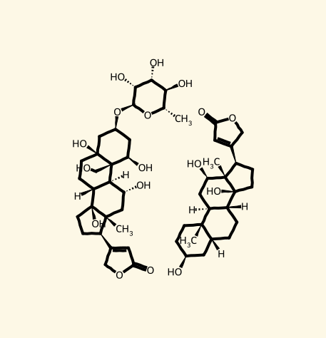 C[C@@H]1O[C@@H](O[C@H]2C[C@@H](O)[C@]3(CO)[C@H]4[C@H](O)C[C@]5(C)[C@@H](C6=CC(=O)OC6)CC[C@]5(O)[C@@H]4CC[C@]3(O)C2)[C@H](O)[C@H](O)[C@H]1O.C[C@]12CC[C@H](O)C[C@H]1CC[C@@H]1[C@@H]2C[C@@H](O)[C@]2(C)[C@@H](C3=CC(=O)OC3)CC[C@]12O